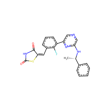 C[C@H](Nc1cncc(-c2cccc(/C=C3/SC(=O)NC3=O)c2F)n1)c1ccccc1